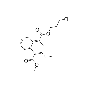 CCC=C(C(=O)OC)C1=CC=CCC1=C(C)C(=O)OCCCCl